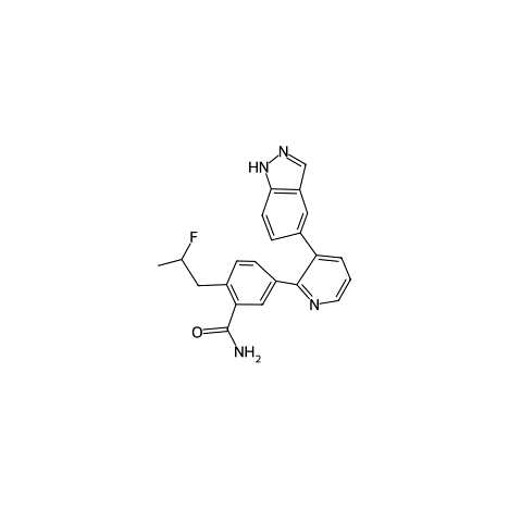 CC(F)Cc1ccc(-c2ncccc2-c2ccc3[nH]ncc3c2)cc1C(N)=O